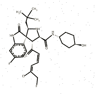 C=C(/C=C\C=C(\Cl)CF)[C@H]1[C@H](C(=O)N[C@H]2CC[C@H](O)CC2)N[C@H](CC(C)(C)C)[C@]12C(=O)Nc1cc(F)ccc12